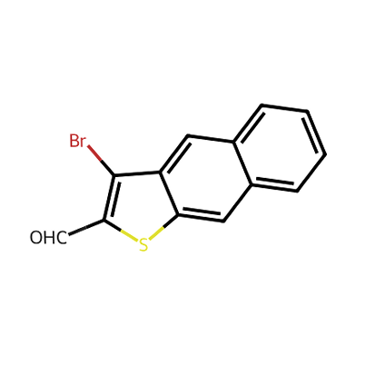 O=Cc1sc2cc3ccccc3cc2c1Br